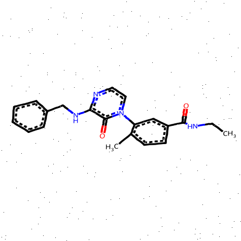 CCNC(=O)c1ccc(C)c(-n2ccnc(NCc3ccccc3)c2=O)c1